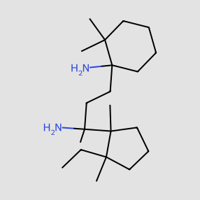 CCC1(C)CCCC1(C)C(C)(N)CCC1(N)CCCCC1(C)C